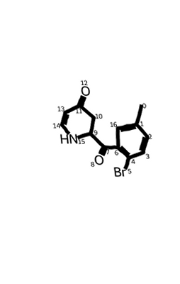 Cc1ccc(Br)c(C(=O)C2CC(=O)C=CN2)c1